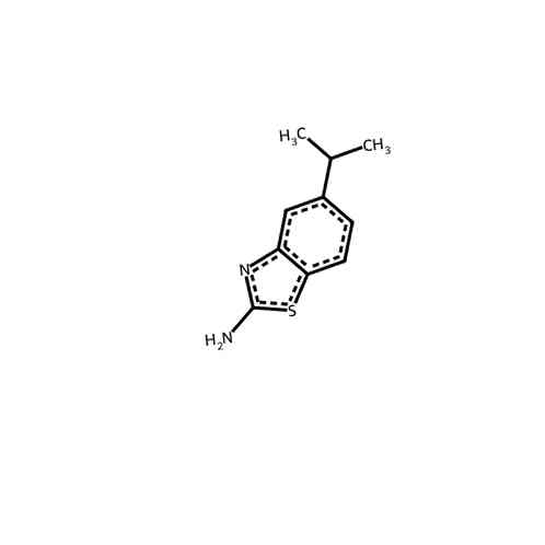 CC(C)c1ccc2sc(N)nc2c1